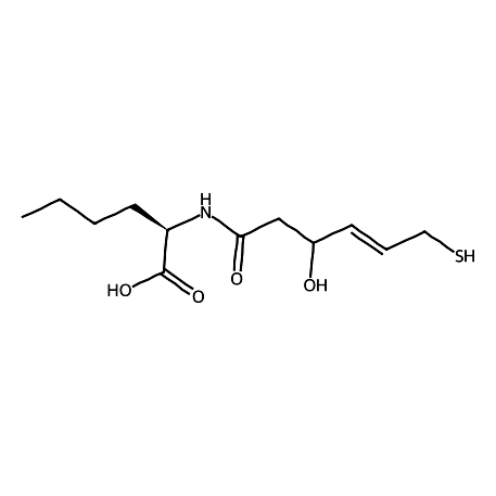 CCCC[C@@H](NC(=O)CC(O)/C=C/CS)C(=O)O